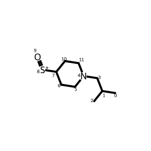 CC(C)CN1CCC([S+]=O)CC1